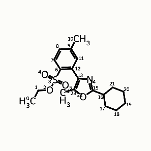 CCOS(=O)(=O)c1ccc(C)cc1-c1nc(C2CCCCC2)oc1C